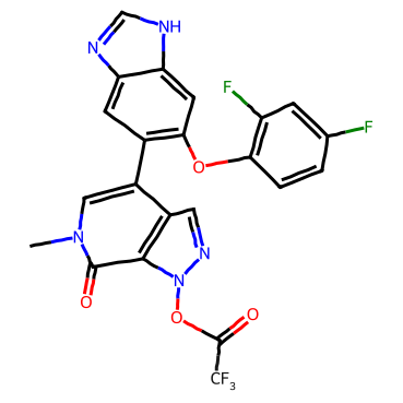 Cn1cc(-c2cc3nc[nH]c3cc2Oc2ccc(F)cc2F)c2cnn(OC(=O)C(F)(F)F)c2c1=O